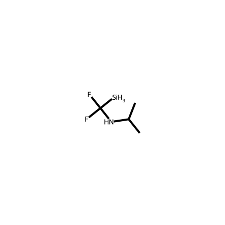 CC(C)NC(F)(F)[SiH3]